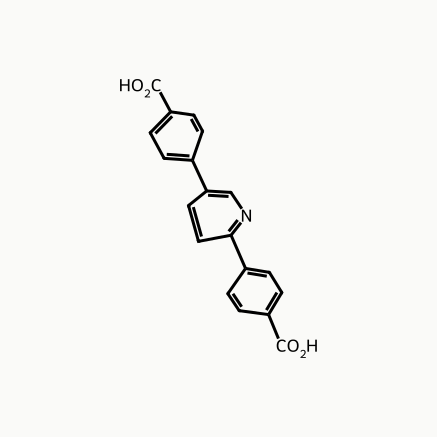 O=C(O)c1ccc(-c2ccc(-c3ccc(C(=O)O)cc3)nc2)cc1